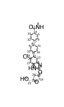 CNC(=O)c1ccc(-c2ccc(-c3cc4nc(OC5CO[C@H](CO)C5)[nH]c4cc3Cl)cc2)cc1